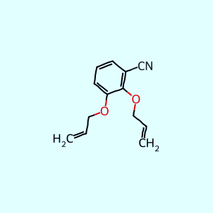 C=CCOc1cccc(C#N)c1OCC=C